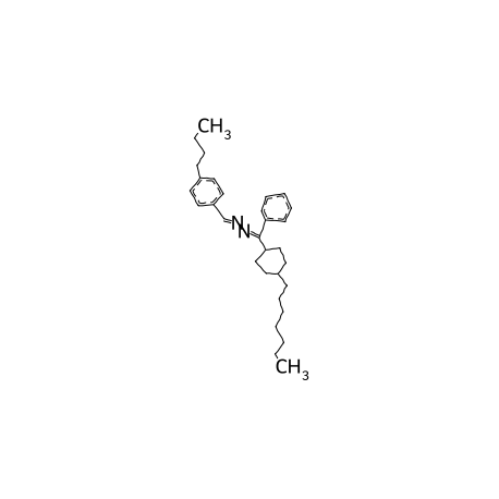 CCCCCCCC1CCC(C(=NN=Cc2ccc(CCCC)cc2)c2ccccc2)CC1